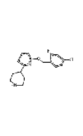 Fc1cc(Cl)ccc1COc1cccc(C2CCNCC2)n1